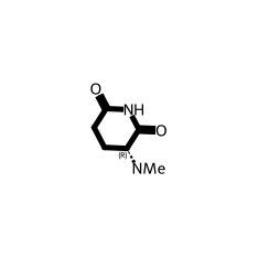 CN[C@@H]1CCC(=O)NC1=O